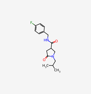 CC(C)CN1CC(C(=O)NCc2ccc(F)cc2)CC1=O